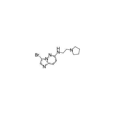 Brc1cnc2ccc(NCCN3CCCC3)nn12